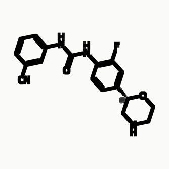 N#Cc1cccc(NC(=O)Nc2ccc([C@H]3CNCCO3)cc2F)c1